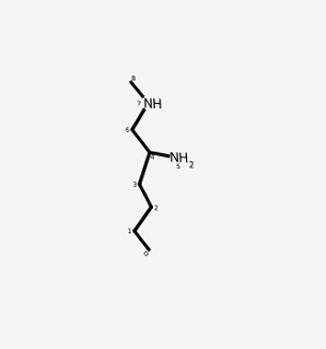 CCCCC(N)CNC